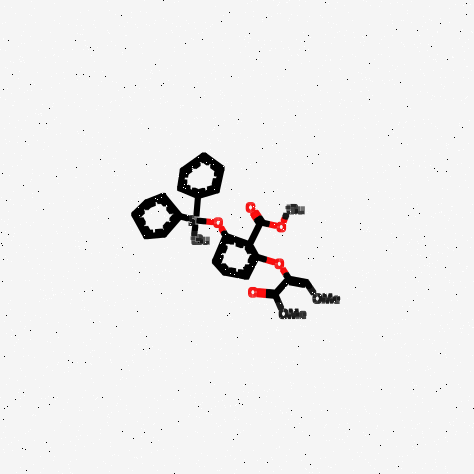 CO/C=C(/Oc1cccc(O[Si](c2ccccc2)(c2ccccc2)C(C)(C)C)c1C(=O)OC(C)(C)C)C(=O)OC